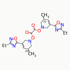 CCc1noc(C2=C[C@H](C)CN(OC(=O)C(=O)ON3CC(c4nc(CC)no4)=C[C@H](C)C3)C2)n1